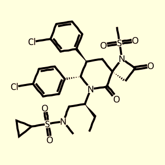 CC[C@@H](CN(C)S(=O)(=O)C1CC1)N1C(=O)[C@@]2(CC(=O)N2S(C)(=O)=O)C[C@H](c2cccc(Cl)c2)[C@H]1c1ccc(Cl)cc1